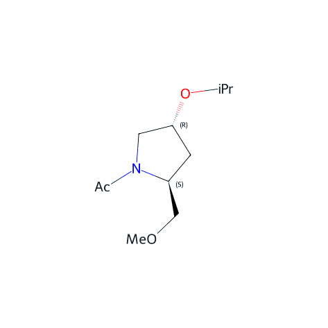 COC[C@@H]1C[C@@H](OC(C)C)CN1C(C)=O